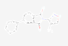 Cc1conc1N1C(=O)c2ccc(-c3ccccc3)cc2C1=O